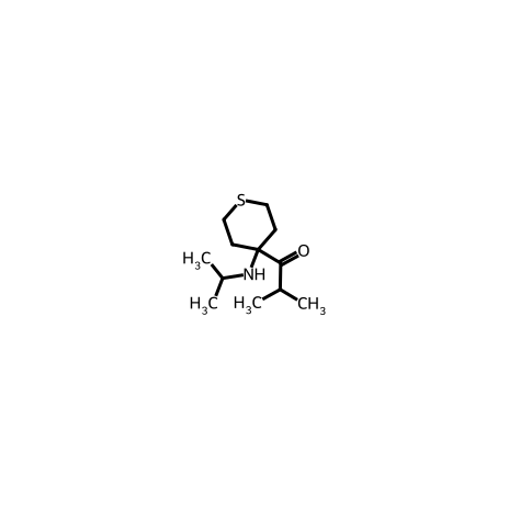 CC(C)NC1(C(=O)C(C)C)CCSCC1